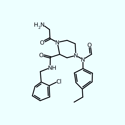 CCc1ccc(N(C=O)N2CCN(C(=O)CN)C(C(=O)NCc3ccccc3Cl)C2)cc1